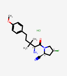 COc1ccc(CCC(C)(C)[C@H](N)C(=O)N2C[C@@H](F)C[C@H]2C#N)cc1.Cl